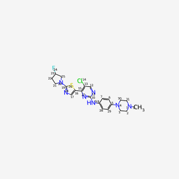 CN1CCN(c2ccc(Nc3ncc(Cl)c(-c4cnc(N5CCC(F)C5)s4)n3)cc2)CC1